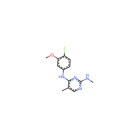 CNc1ncc(C)c(Nc2ccc(F)c(OC)c2)n1